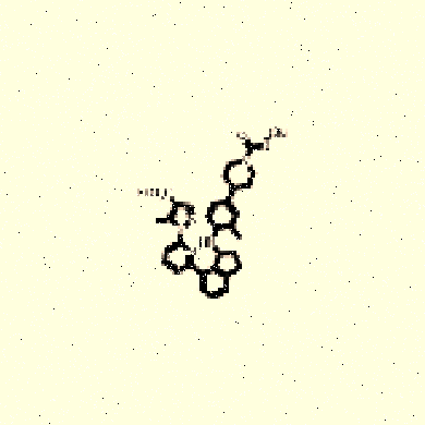 CCOC(=O)c1cnn(-c2cccc(-c3cccc4c3C(Nc3ccc(C5CCN(C(=O)OC(C)(C)C)CC5)cc3C)CC4)n2)c1C